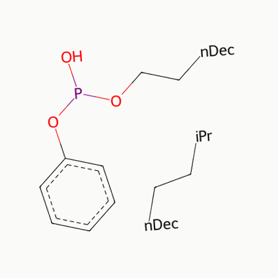 CCCCCCCCCCCCC(C)C.CCCCCCCCCCCCOP(O)Oc1ccccc1